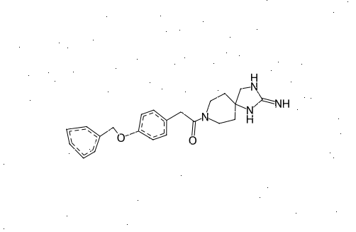 N=C1NCC2(CCN(C(=O)Cc3ccc(OCc4ccccc4)cc3)CC2)N1